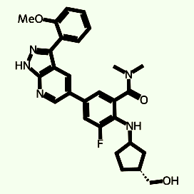 COc1ccccc1-c1n[nH]c2ncc(-c3cc(F)c(NC4CC[C@@H](CO)C4)c(C(=O)N(C)C)c3)cc12